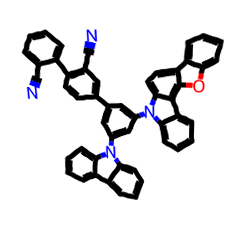 N#Cc1ccccc1-c1ccc(-c2cc(-n3c4ccccc4c4ccccc43)cc(-n3c4ccccc4c4c5oc6ccccc6c5ccc43)c2)cc1C#N